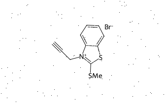 C#CC[n+]1c(SC)sc2ccccc21.[Br-]